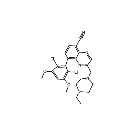 CCN1CCN(Cc2cnc3c(C#N)ccc(-c4c(Cl)c(OC)cc(OC)c4Cl)c3n2)CC1